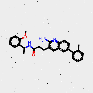 COc1ccccc1C(C)NC(=O)CCc1cc2cc(-c3ccccc3C)ccc2nc1N